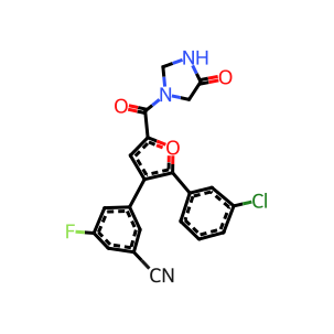 N#Cc1cc(F)cc(-c2cc(C(=O)N3CNC(=O)C3)oc2-c2cccc(Cl)c2)c1